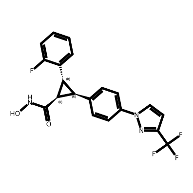 O=C(NO)[C@@H]1[C@H](c2ccc(-n3ccc(C(F)(F)F)n3)cc2)[C@H]1c1ccccc1F